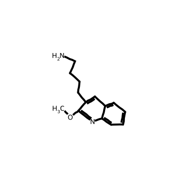 COc1nc2ccccc2cc1CCCCN